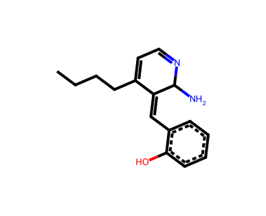 CCCCC1=CC=NC(N)C1=Cc1ccccc1O